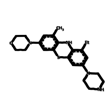 CCc1cc(N2CCNCC2)cc2c1Nc1c(C)cc(N3CCOCC3)cc1S2